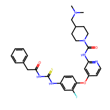 CN(C)CC1CCN(C(=O)Nc2cc(Oc3ccc(NC(=S)NC(=O)Cc4ccccc4)cc3F)ccn2)CC1